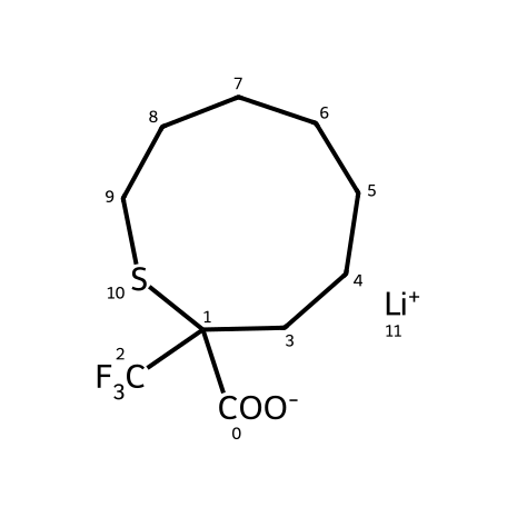 O=C([O-])C1(C(F)(F)F)CCCCCCCS1.[Li+]